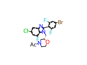 CC(=O)N1CCO[C@@H](Cn2c(-c3c(F)cc(Br)cc3F)nc3cc(Cl)cc(F)c32)C1